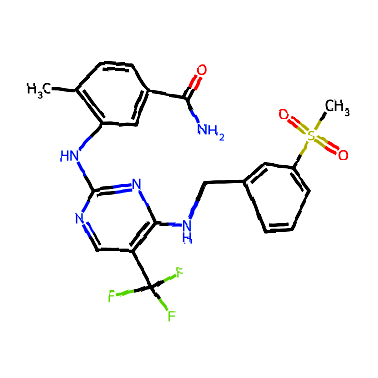 Cc1ccc(C(N)=O)cc1Nc1ncc(C(F)(F)F)c(NCc2cccc(S(C)(=O)=O)c2)n1